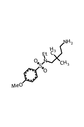 CCN(CC(C)(C)CCN)S(=O)(=O)c1ccc(OC)cc1